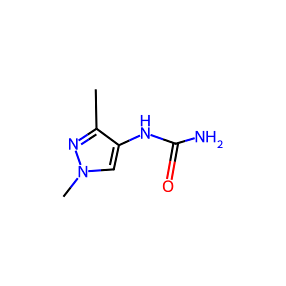 Cc1nn(C)cc1NC(N)=O